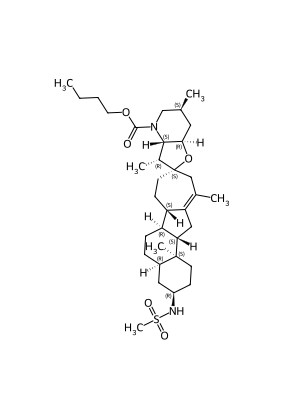 CCCCOC(=O)N1C[C@@H](C)C[C@H]2O[C@]3(CC[C@@H]4C(=C(C)C3)C[C@H]3[C@H]4CC[C@@H]4C[C@H](NS(C)(=O)=O)CC[C@@]43C)[C@H](C)[C@@H]21